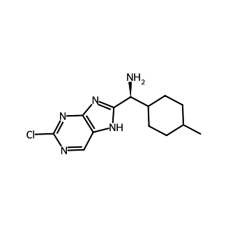 CC1CCC([C@H](N)c2nc3nc(Cl)ncc3[nH]2)CC1